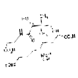 CC(C)(CO)[C@@H](O)C(=O)NCCC(=O)O.CCCCCCCCCCCCCCCCCC(=O)O.[Ca+2].[Mg+2]